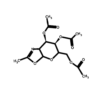 CC(=O)OCC1OC2OC(C)=NC2[C@@H](OC(C)=O)[C@H]1OC(C)=O